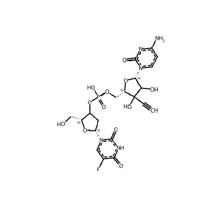 C#CC1(O)C(O)[C@@H](n2ccc(N)nc2=O)O[C@H]1COP(=O)(O)OC1C[C@H](n2cc(F)c(=O)[nH]c2=O)O[C@@H]1CO